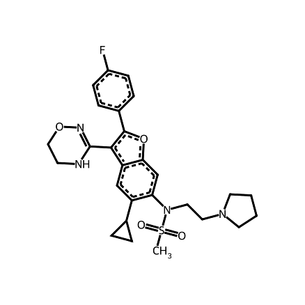 CS(=O)(=O)N(CCN1CCCC1)c1cc2oc(-c3ccc(F)cc3)c(C3=NOCCN3)c2cc1C1CC1